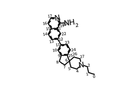 CCCN1CCC2(CCc3cc(-c4ccc5ccnc(N)c5c4)ccc32)CC1